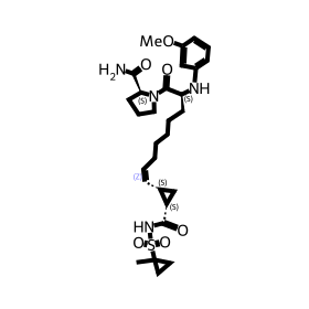 COc1cccc(N[C@@H](CCCCC/C=C\[C@@H]2C[C@@H]2C(=O)NS(=O)(=O)C2(C)CC2)C(=O)N2CCC[C@H]2C(N)=O)c1